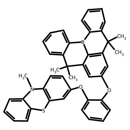 CN1c2ccccc2Sc2cc(Oc3ccccc3Oc3cc4c5c(c3)C(C)(C)c3ccccc3B5c3ccccc3C4(C)C)ccc21